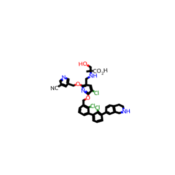 CC(CO)(NCc1cc(Cl)c(OCc2cccc(-c3cccc(-c4ccc5c(c4)CNCC5)c3Cl)c2Cl)nc1OCc1cncc(C#N)c1)C(=O)O